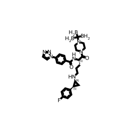 BC(B)(B)N1CCN(C(=O)[C@H](CCCN[C@@H]2C[C@H]2c2ccc(F)cc2)NC(=O)c2ccc(-n3ccnn3)cc2)CC1